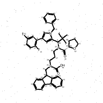 CC(C)(C)[C@H](c1cc(-c2cc(F)ccc2F)cn1Cc1ccccc1)N(CCCN(CC1c2ccccc2-c2ccccc21)C(=O)O)C(=O)[C@@H]1CCCO1